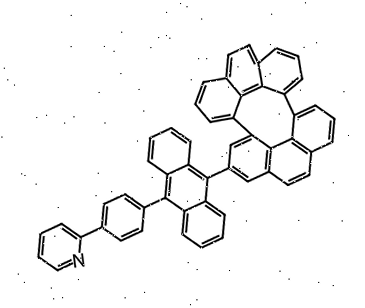 c1ccc(-c2ccc(-c3c4ccccc4c(-c4cc5ccc6cccc7c8cccc9ccc%10cccc(c(c4)c5c67)c%10c98)c4ccccc34)cc2)nc1